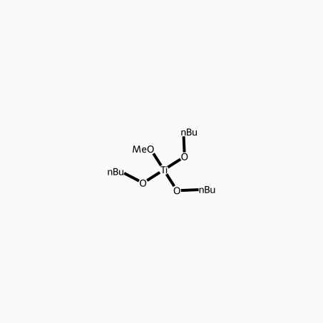 CCCC[O][Ti]([O]C)([O]CCCC)[O]CCCC